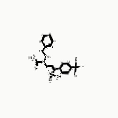 CC(=O)N(CC=C(c1ccc(C(F)(F)F)cc1)P(=O)(O)O)OCc1ccccc1